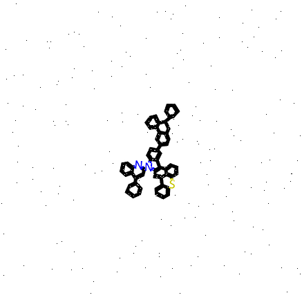 c1ccc(-c2cc(-n3c4ccc(-c5ccc6c(c5)-c5ccccc5C(c5ccccc5)C6)cc4c4c5cccc6c5c(cc43)-c3ccccc3S6)nc3ccccc23)cc1